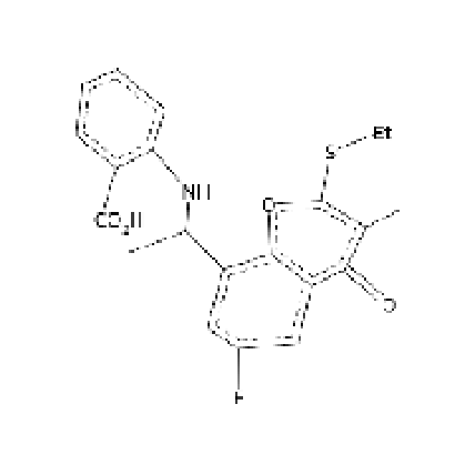 CCSc1oc2c(C(C)Nc3ccccc3C(=O)O)cc(F)cc2c(=O)c1C